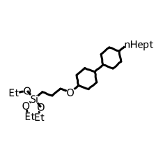 CCCCCCCC1CCC(C2CCC(OCCC[Si](OCC)(OCC)OCC)CC2)CC1